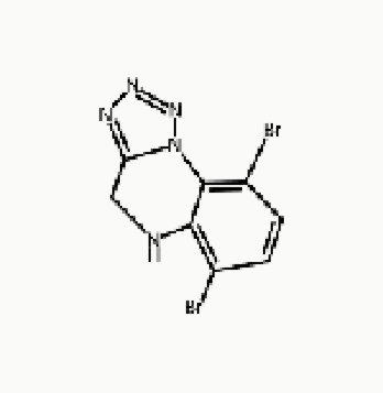 Brc1ccc(Br)c2c1NCc1nnnn1-2